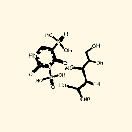 O=CC(O)C(O)C(O)C(O)CO.O=c1[nH]cc(P(=O)(O)O)c(=O)n1P(=O)(O)O